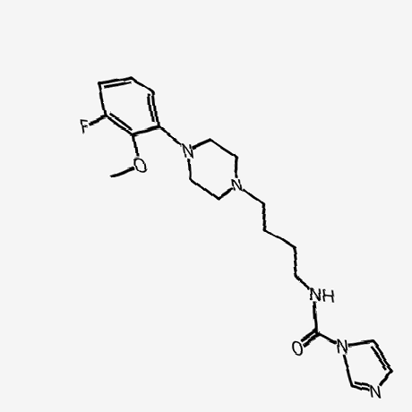 COc1c(F)cccc1N1CCN(CCCCNC(=O)n2ccnc2)CC1